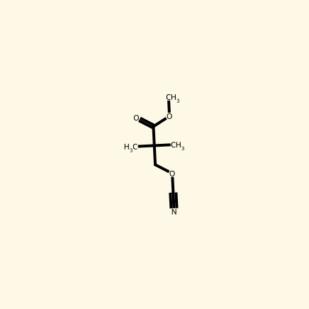 COC(=O)C(C)(C)COC#N